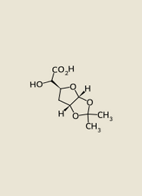 CC1(C)O[C@H]2O[C@H](C(O)C(=O)O)C[C@H]2O1